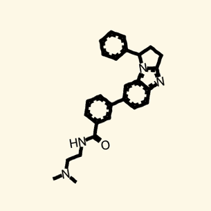 CN(C)CCNC(=O)c1cccc(-c2ccc3nc4n(c3c2)C(c2ccccc2)CC4)c1